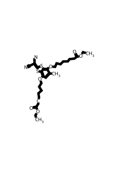 CCOC(=O)CCCCCCCOc1cc(C)c(OCCCCCCCC(=O)OCC)c2c1SC(=C(C#N)C#N)S2